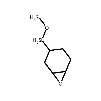 [SiH3]O[SiH2]C1CCC2OC2C1